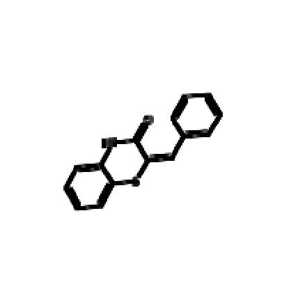 O=C1Nc2ccccc2S/C1=C/c1ccccc1